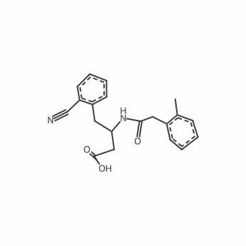 Cc1ccccc1CC(=O)NC(CC(=O)O)Cc1ccccc1C#N